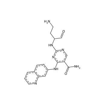 NCCC(C=O)Nc1ncc(C(N)=O)c(Nc2ccc3cccnc3c2)n1